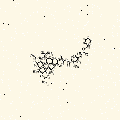 CC[C@H](C)C(NC(=O)CNC(=O)OCc1ccccc1)C(=O)NCC(=O)N[C@H](Cc1ccccc1)C(=O)NCC(=O)N[C@@H](CCN)C(=O)NC(C(=O)N[C@@H](CCC(C)C)C(=O)NCC(N)=O)C(C)C